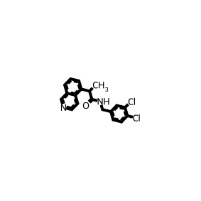 CC(C(=O)NCc1ccc(Cl)c(Cl)c1)c1cccc2cnccc12